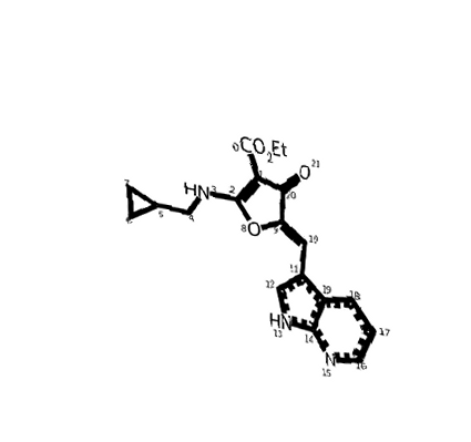 CCOC(=O)C1=C(NCC2CC2)OC(=Cc2c[nH]c3ncccc23)C1=O